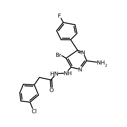 Nc1nc(NNC(=O)Cc2cccc(Cl)c2)c(Br)c(-c2ccc(F)cc2)n1